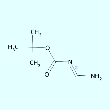 CC(C)(C)OC(=O)/N=C/N